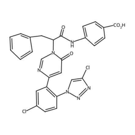 O=C(O)c1ccc(NC(=O)C(Cc2ccccc2)n2cnc(-c3cc(Cl)ccc3-n3cc(Cl)nn3)cc2=O)cc1